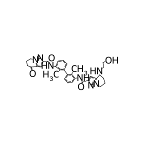 Cc1c(NC(=O)c2cc3n(n2)CCCC3=O)cccc1-c1cccc(NC(=O)c2cc3n(n2)CCCC3NCCO)c1C